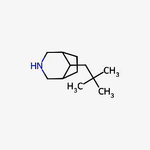 CC(C)(C)CC1C2CCC1CNC2